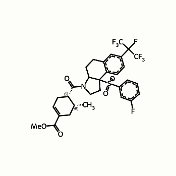 COC(=O)C1=CC[C@H](C(=O)N2CCC3(S(=O)(=O)c4cccc(F)c4)c4ccc(C(F)(C(F)(F)F)C(F)(F)F)cc4CCC23)[C@H](C)C1